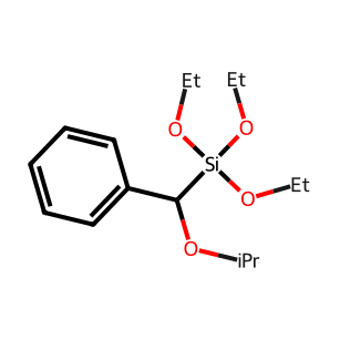 CCO[Si](OCC)(OCC)C(OC(C)C)c1ccccc1